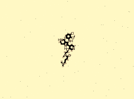 COc1c(Cl)cccc1Nc1c(-c2ccncc2OCCN(C)C(=O)/C=C/CN(C)C)[nH]c2c1C(=O)NCC2